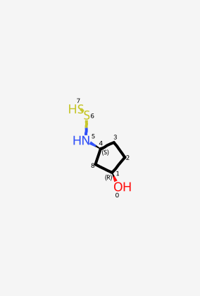 O[C@@H]1CC[C@H](NSS)C1